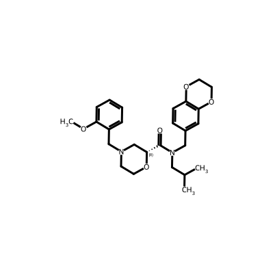 COc1ccccc1CN1CCO[C@@H](C(=O)N(Cc2ccc3c(c2)OCCO3)CC(C)C)C1